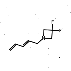 C=C/C=C/CN1CC(F)(F)C1